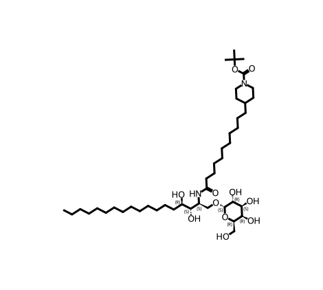 CCCCCCCCCCCCCC[C@@H](O)[C@@H](O)[C@H](CO[C@H]1O[C@H](CO)[C@H](O)[C@H](O)[C@H]1O)NC(=O)CCCCCCCCCCC1CCN(C(=O)OC(C)(C)C)CC1